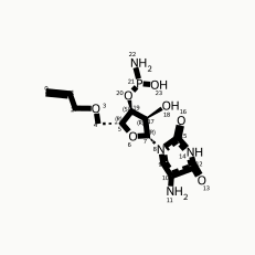 C=CCOC[C@H]1O[C@@H](n2cc(N)c(=O)[nH]c2=O)[C@H](O)[C@@H]1OP(N)O